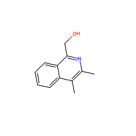 Cc1nc(CO)c2ccccc2c1C